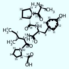 CC[C@H](C)[C@H](NC(=O)[C@H](Cc1ccc(O)cc1)NC(=O)[C@@H]1CCCN1C(=O)[C@H](C)N)C(=O)N1CCC[C@H]1C(=O)O